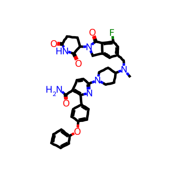 CN(Cc1cc(F)c2c(c1)CN(C1CCC(=O)NC1=O)C2=O)C1CCN(c2ccc(C(N)=O)c(-c3ccc(Oc4ccccc4)cc3)n2)CC1